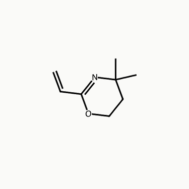 C=CC1=NC(C)(C)CCO1